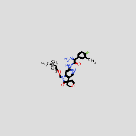 Cc1cc(C(N)C(=O)Nc2cc3c(cn2)C2(CCOCC2)C(=O)N3COCC[Si](C)(C)C)ccc1F